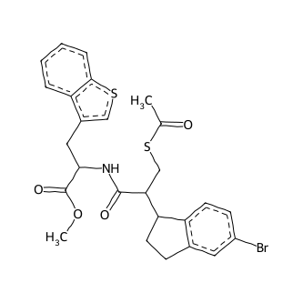 COC(=O)C(Cc1csc2ccccc12)NC(=O)C(CSC(C)=O)C1CCc2cc(Br)ccc21